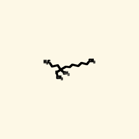 CCCCCCCC(C)(CCC)SC